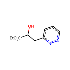 CCOC(=O)C(O)Cc1cccnn1